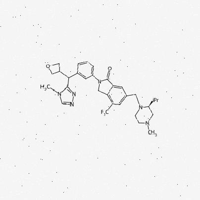 CC(C)[C@H]1CN(C)CCN1Cc1cc2c(c(C(F)(F)F)c1)CN(c1cccc(C(c3nncn3C)C3COC3)c1)C2=O